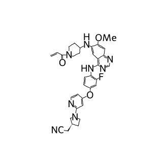 C=CC(=O)N1CCC(Nc2cc3c(Nc4ccc(Oc5ccnc(N6CC[C@@H](CC#N)C6)c5)cc4F)ncnc3cc2OC)CC1